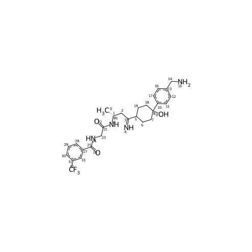 C[C@H](CC(=N)C1CCC(O)(c2ccc(CN)cc2)CC1)NC(=O)CNC(=O)c1cccc(C(F)(F)F)c1